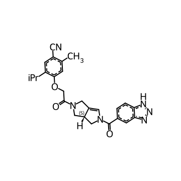 Cc1cc(OCC(=O)N2CC3=CN(C(=O)c4ccc5[nH]nnc5c4)C[C@@H]3C2)c(C(C)C)cc1C#N